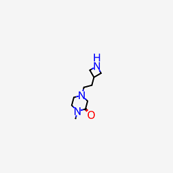 CN1CCN(CCC2CNC2)CC1=O